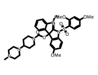 COc1ccc(S(=O)(=O)N2C(=O)C(OC(=O)N3CCC(N4CCN(C)CC4)CC3)(c3ccccc3OC(C)C)c3cc(OC)ccc32)c(OC)c1